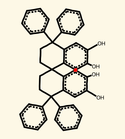 Oc1cc2c(cc1O)C(c1ccccc1)(c1ccccc1)CCC21CCC(c2ccccc2)(c2ccccc2)c2cc(O)c(O)cc21